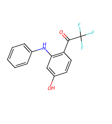 O=C(c1ccc(O)cc1Nc1ccccc1)C(F)(F)F